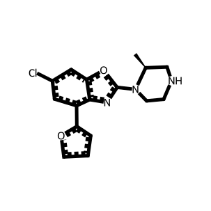 C[C@H]1CNCCN1c1nc2c(-c3ccco3)cc(Cl)cc2o1